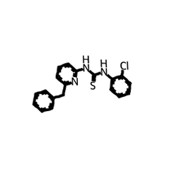 S=C(Nc1cccc(Cc2ccccc2)n1)Nc1ccccc1Cl